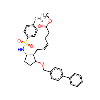 COC(=O)CC/C=C\C[C@@H]1[C@@H](NS(=O)(=O)c2ccc(C)cc2)CC[C@@H]1OCc1ccc(-c2ccccc2)cc1